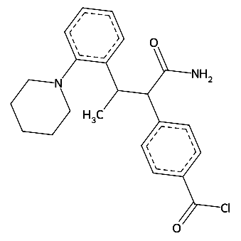 CC(c1ccccc1N1CCCCC1)C(C(N)=O)c1ccc(C(=O)Cl)cc1